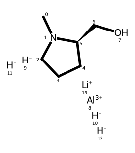 CN1CCC[C@@H]1CO.[Al+3].[H-].[H-].[H-].[H-].[Li+]